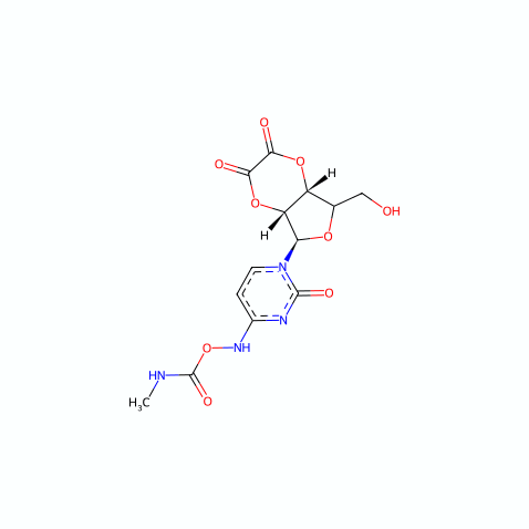 CNC(=O)ONc1ccn([C@@H]2OC(CO)[C@H]3OC(=O)C(=O)O[C@H]32)c(=O)n1